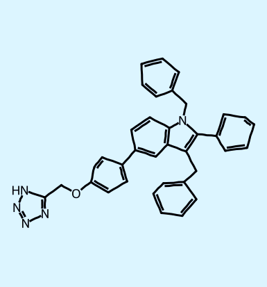 c1ccc(Cc2c(-c3ccccc3)n(Cc3ccccc3)c3ccc(-c4ccc(OCc5nnn[nH]5)cc4)cc23)cc1